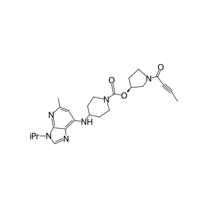 CC#CC(=O)N1CC[C@H](OC(=O)N2CCC(Nc3cc(C)nc4c3ncn4C(C)C)CC2)C1